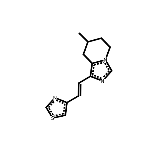 CC1CCn2cnc(/C=C/c3cscn3)c2C1